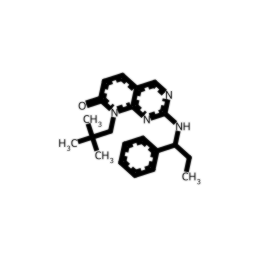 CCC(Nc1ncc2ccc(=O)n(CC(C)(C)C)c2n1)c1ccccc1